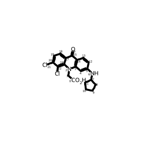 O=C(O)Cn1c2cc(NC3CCCC3)ccc2c(=O)c2ccc(Cl)c(Cl)c21